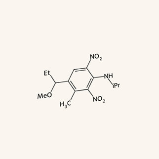 CCC(OC)c1cc([N+](=O)[O-])c(NC(C)C)c([N+](=O)[O-])c1C